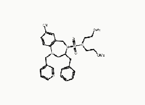 COCCN(CCOC)S(=O)(=O)N1Cc2cc(C#N)ccc2N(Cc2cccnc2)CC1Cc1ccccc1